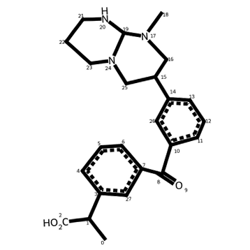 CC(C(=O)O)c1cccc(C(=O)c2cccc(C3CN(C)C4NCCCN4C3)c2)c1